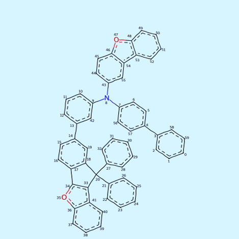 c1ccc(-c2ccc(N(c3cccc(-c4ccc5c(c4)C(c4ccccc4)(c4ccccc4)c4c-5oc5ccccc45)c3)c3ccc4oc5ccccc5c4c3)cc2)cc1